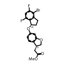 COC(=O)C[C@@H]1COc2cc(O[C@@H]3CCc4c(Br)c(F)cc(F)c43)ccc21